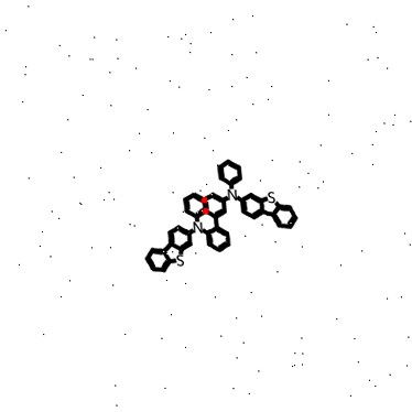 c1ccc(N(c2cccc(-c3ccccc3N(c3ccccc3)c3ccc4c(c3)sc3ccccc34)c2)c2ccc3c(c2)sc2ccccc23)cc1